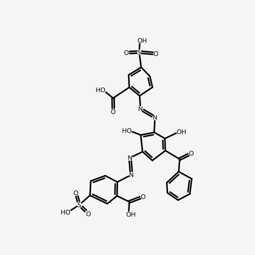 O=C(O)c1cc(S(=O)(=O)O)ccc1N=Nc1cc(C(=O)c2ccccc2)c(O)c(N=Nc2ccc(S(=O)(=O)O)cc2C(=O)O)c1O